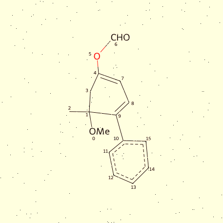 COC1(C)CC(OC=O)=CC=C1c1ccccc1